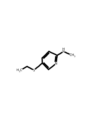 CCSc1ccc(NC)nc1